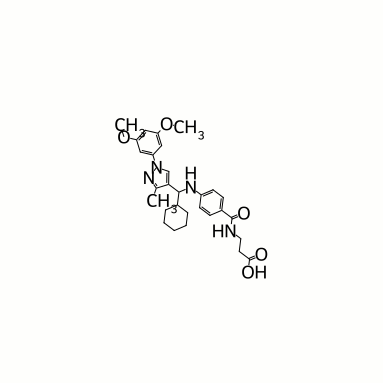 COc1cc(OC)cc(-n2cc(C(Nc3ccc(C(=O)NCCC(=O)O)cc3)C3CCCCC3)c(C)n2)c1